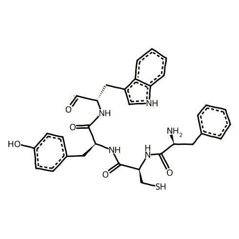 N[C@@H](Cc1ccccc1)C(=O)N[C@@H](CS)C(=O)N[C@@H](Cc1ccc(O)cc1)C(=O)N[C@H]([C]=O)Cc1c[nH]c2ccccc12